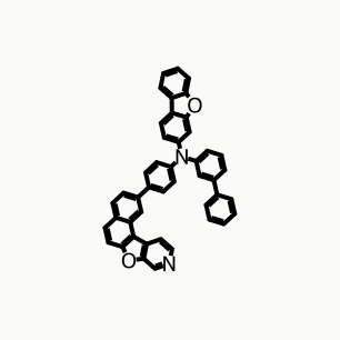 c1ccc(-c2cccc(N(c3ccc(-c4ccc5ccc6oc7cnccc7c6c5c4)cc3)c3ccc4c(c3)oc3ccccc34)c2)cc1